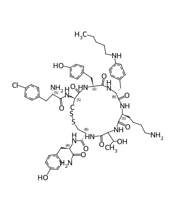 CCCCCNc1ccc(C[C@H]2NC(=O)[C@H](Cc3ccc(O)cc3)NC(=O)[C@H](NC(=O)[C@@H](N)Cc3ccc(Cl)cc3)CSSC[C@@H](C(=O)N[C@H](Cc3ccc(O)cc3)C(N)=O)NC(=O)C(C(C)O)NC(=O)[C@H](CCCCN)NC2=O)cc1